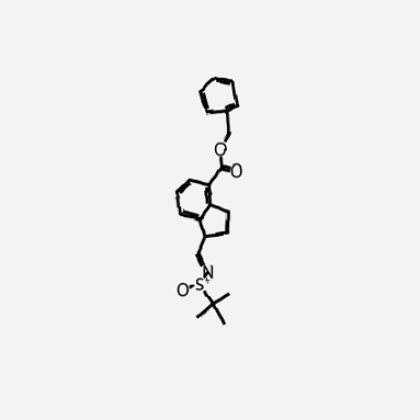 CC(C)(C)[S@@+]([O-])/N=C/C1CCc2c(C(=O)OCc3ccccc3)cccc21